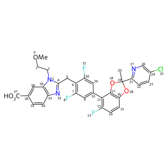 COCCn1c(Cc2c(F)cc(-c3c(F)ccc4c3OC(C)(c3ccc(Cl)cn3)O4)cc2F)nc2ccc(C(=O)O)cc21